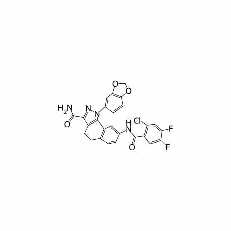 NC(=O)c1nn(-c2ccc3c(c2)OCO3)c2c1CCc1ccc(NC(=O)c3cc(F)c(F)cc3Cl)cc1-2